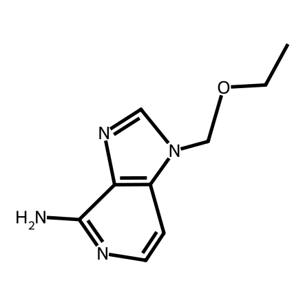 CCOCn1cnc2c(N)nccc21